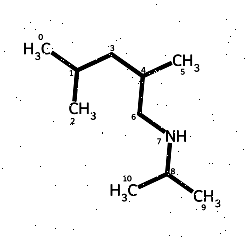 CC(C)CC(C)CNC(C)C